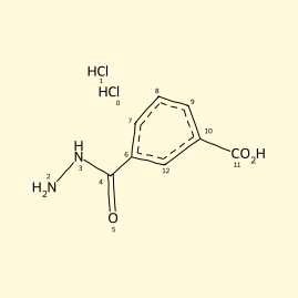 Cl.Cl.NNC(=O)c1cccc(C(=O)O)c1